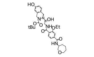 CCOc1cc(C(=O)NC2CCCCOC2)ccc1C(=O)NC[C@@H](O)[C@@H]1Cc2ccc(O)cc2CN1C(=O)OC(C)(C)C